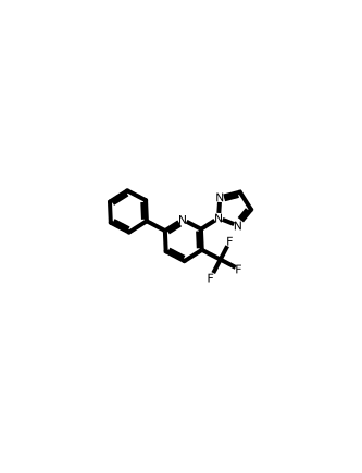 FC(F)(F)c1ccc(-c2ccccc2)nc1-n1nccn1